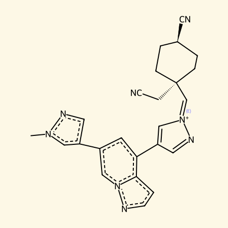 Cn1cc(-c2cc(C3=C/[N+](=C\[C@]4(CC#N)CC[C@H](C#N)CC4)N=C3)c3ccnn3c2)cn1